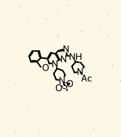 CC(=O)N1CCC(Nc2ncc3cc(-c4ccccc4C)c(=O)n(C4CCN(S(C)(=O)=O)CC4)c3n2)CC1